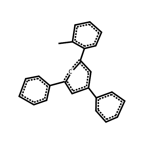 Cc1ccccc1-c1cc(-c2ccccc2)cc(-c2ccccc2)c1